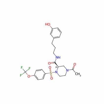 CC(=O)N1CCN(S(=O)(=O)c2ccc(OC(F)(F)F)cc2)[C@@H](C(=O)NCCCc2cccc(O)c2)C1